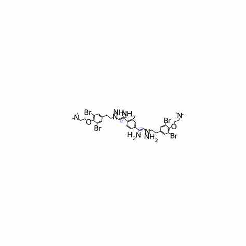 CN(C)CCOc1c(Br)cc(CCN(N)/C=C(\N)c2ccc(/C(N)=C/N(N)CCc3cc(Br)c(OCCN(C)C)c(Br)c3)cc2)cc1Br